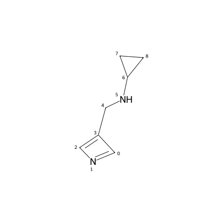 C1=NC=C1CNC1CC1